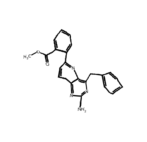 COC(=O)c1ccccc1-c1ccc2nc(N)nc(Cc3ccccc3)c2n1